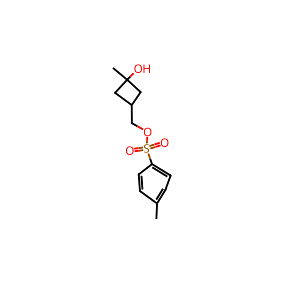 Cc1ccc(S(=O)(=O)OCC2CC(C)(O)C2)cc1